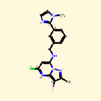 Cc1nn2c(NCc3cccc(-c4nccn4C)c3)cc(Cl)nc2c1I